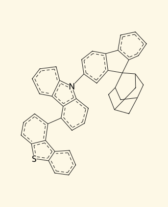 c1ccc2c(c1)-c1ccc(-n3c4ccccc4c4c(-c5cccc6sc7ccccc7c56)cccc43)cc1C21C2CC3CC(C2)CC1C3